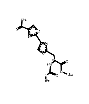 CC(C)(C)OC(=O)N[C@@H](Cc1nc(-c2nc(C(N)=S)co2)cs1)C(=O)OC(C)(C)C